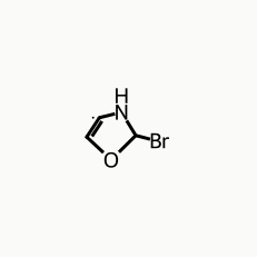 BrC1N[C]=CO1